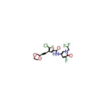 O=C(Nc1cc(F)c(=O)n(CC(F)F)c1)c1cc(C#CC2COCCO2)c(Cl)s1